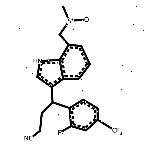 C[S+]([O-])Cc1cccc2c(C(CCC#N)c3ccc(C(F)(F)F)cc3F)c[nH]c12